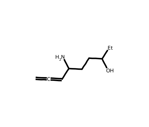 C=C=CC(N)CCC(O)CC